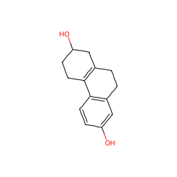 Oc1ccc2c(c1)CCC1=C2CCC(O)C1